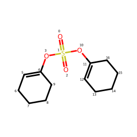 O=S(=O)(OC1=CCCCC1)OC1=CCCCC1